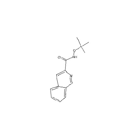 CC(C)(C)ONC(=O)c1cc2ccccc2cn1